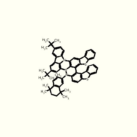 Cc1cc2c(cc1N1B3c4c(cc5c(sc6ccccc65)c4-c4c1ccc1sc5ccccc5c41)-n1c4ccc(C(C)(C)C)cc4c4cc(C(C)(C)C)cc3c41)C(C)(C)CCC2(C)C